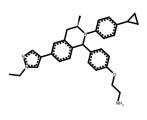 CCn1cc(-c2ccc3c(c2)C[C@@H](C)N(c2ccc(C4CC4)cc2)C3c2ccc(OCCN)cc2)cn1